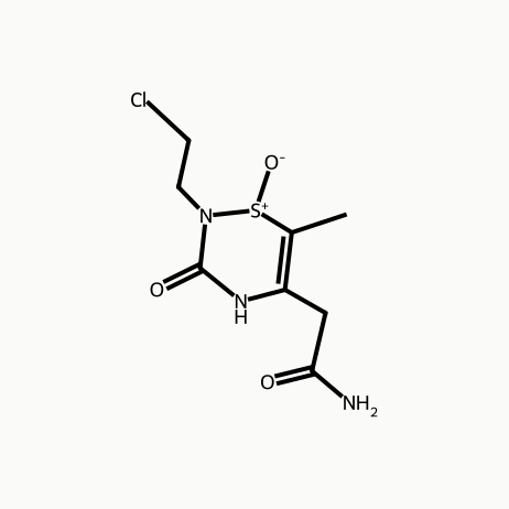 CC1=C(CC(N)=O)NC(=O)N(CCCl)[S+]1[O-]